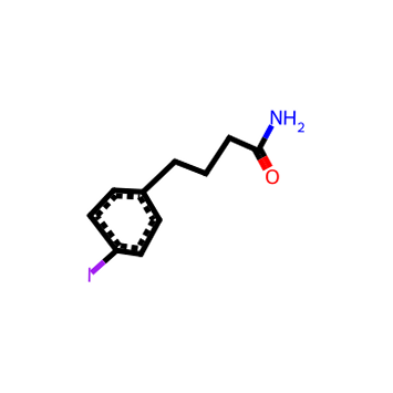 NC(=O)CCCc1ccc(I)cc1